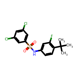 CC(C)(C)c1ccc(NS(=O)(=O)c2cc(Cl)cc(Cl)c2)cc1F